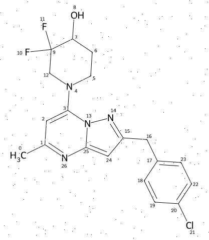 Cc1cc(N2CCC(O)C(F)(F)C2)n2nc(Cc3ccc(Cl)cc3)cc2n1